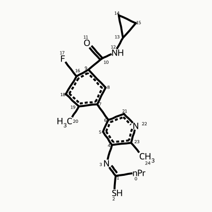 CCC/C(S)=N\c1cc(-c2cc(C(=O)NC3CC3)c(F)cc2C)cnc1C